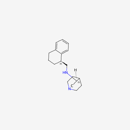 c1ccc2c(c1)CCC[C@@H]2CN[C@@H]1CN2CCC1CC2